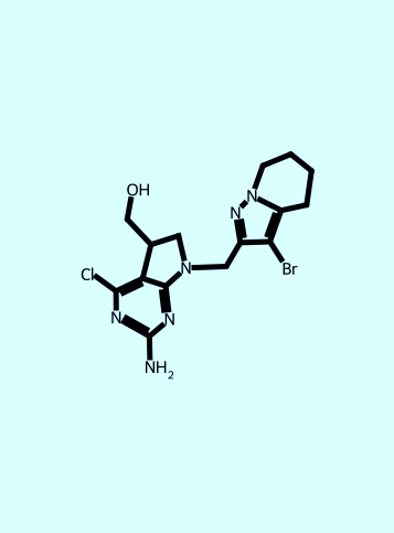 Nc1nc(Cl)c2c(n1)N(Cc1nn3c(c1Br)CCCC3)CC2CO